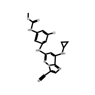 COC(=O)Nc1cc(Cl)cc(Nc2cc(NC3CC3)c3ncc(C#N)n3n2)c1